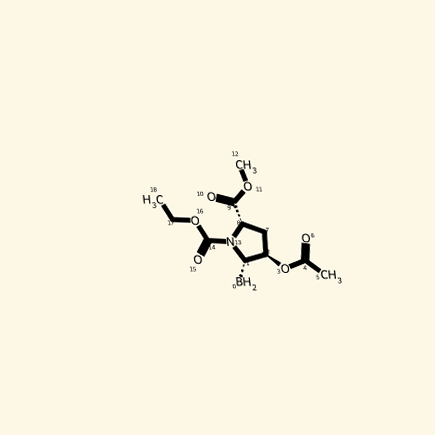 B[C@H]1[C@H](OC(C)=O)C[C@@H](C(=O)OC)N1C(=O)OCC